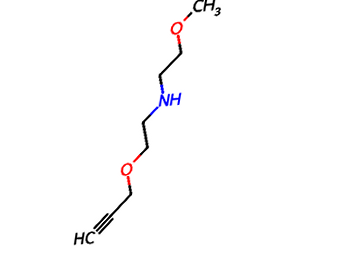 C#CCOCCNCCOC